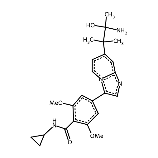 COc1cc(-c2cnc3cc(C(C)(C)C(C)(N)O)ccn23)cc(OC)c1C(=O)NC1CC1